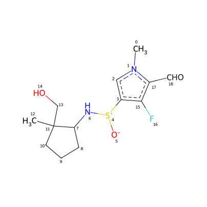 Cn1cc([S+]([O-])NC2CCCC2(C)CO)c(F)c1C=O